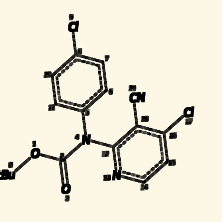 CC(C)(C)OC(=O)N(c1ccc(Cl)cc1)c1nccc(Cl)c1C#N